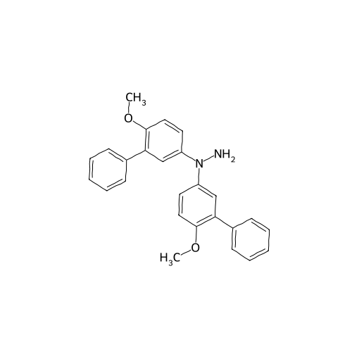 COc1ccc(N(N)c2ccc(OC)c(-c3ccccc3)c2)cc1-c1ccccc1